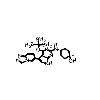 BC(B)(B)Oc1nc(N[C@H]2CC[C@](C)(O)CC2)nc2[nH]cc(-c3ccc4nncn4c3)c12